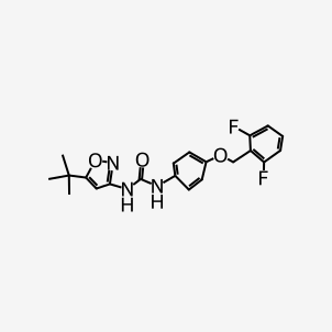 CC(C)(C)c1cc(NC(=O)Nc2ccc(OCc3c(F)cccc3F)cc2)no1